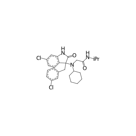 CC(C)NC(=O)CN(C1CCCCC1)C1(Cc2cccc(Cl)c2)C(=O)Nc2cc(Cl)ccc21